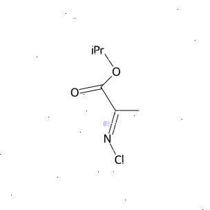 C/C(=N\Cl)C(=O)OC(C)C